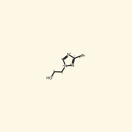 CC(C)c1ncn(CCO)n1